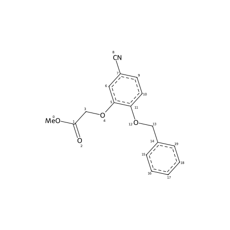 COC(=O)COc1cc(C#N)ccc1OCc1ccccc1